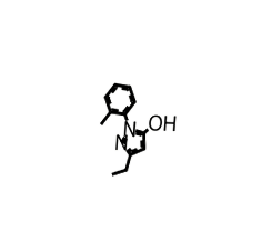 CCc1cc(O)n(-c2ccccc2C)n1